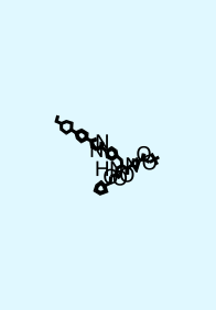 CCC1CCC(c2ccc(-c3cnc(-c4ccc(CC(NC(=O)OCc5ccccc5)C(=O)N5CC(C(=O)OC(C)(C)C)C5)cc4)nc3)cc2)CC1